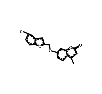 Cc1cc(=O)oc2cc(OCc3cc4cc(Cl)ccc4o3)ccc12